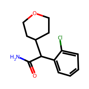 NC(=O)C(c1ccccc1Cl)C1CCOCC1